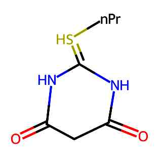 CCC[SH]=C1NC(=O)CC(=O)N1